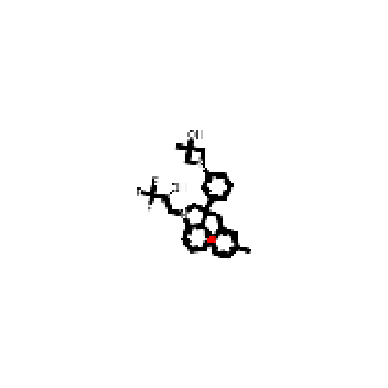 Cc1cccc(CC2(c3cccc(N4CC(C)(O)C4)c3)CN(C[C@@H](O)C(F)(F)F)c3ccccc32)c1